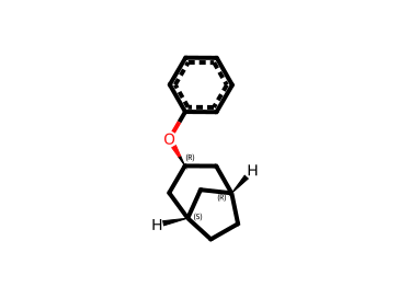 c1ccc(O[C@H]2C[C@@H]3CC[C@@H](C3)C2)cc1